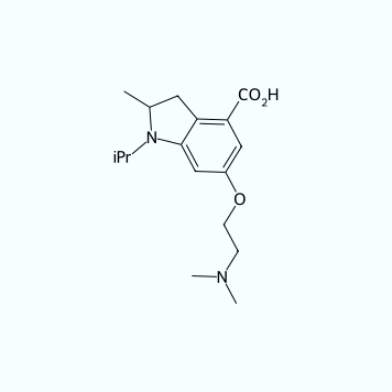 CC(C)N1c2cc(OCCN(C)C)cc(C(=O)O)c2CC1C